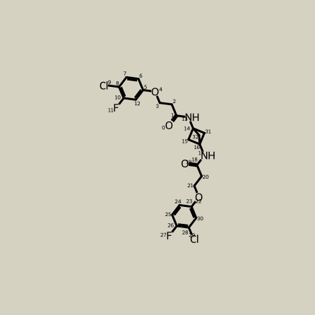 O=C(CCOc1ccc(Cl)c(F)c1)NC12CC(NC(=O)CCOc3ccc(F)c(Cl)c3)(C1)C2